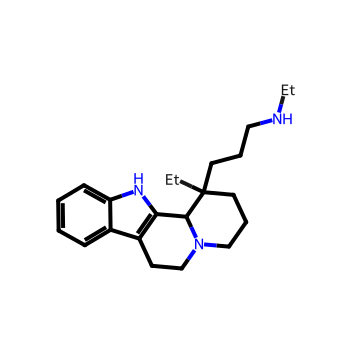 CCNCCCC1(CC)CCCN2CCc3c([nH]c4ccccc34)C21